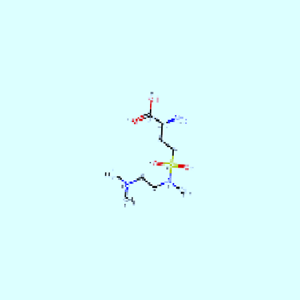 CN(C)CCN(C)S(=O)(=O)CC[C@H](N)C(=O)O